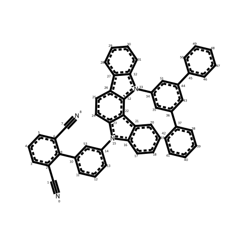 N#Cc1cccc(C#N)c1-c1cccc(-n2c3ccccc3c3c2ccc2c4ccccc4n(-c4cc(-c5ccccc5)cc(-c5ccccc5)c4)c23)c1